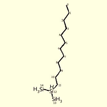 CCCCCCCCCCCC[SiH]([SiH3])[SiH3]